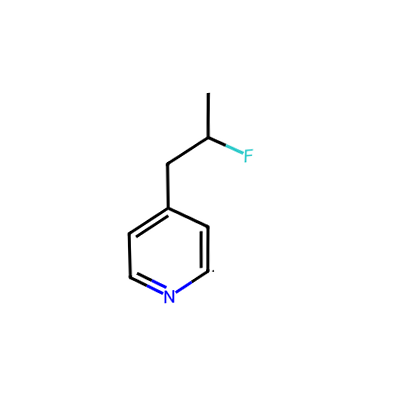 CC(F)Cc1c[c]ncc1